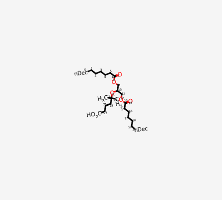 CCCCCCCCCCCCCCCC(=O)OCC(COC(=O)CCCCCCCCCCCCCCC)OC(C)(C)CCCC(=O)O